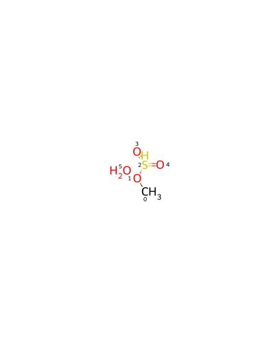 CO[SH](=O)=O.O